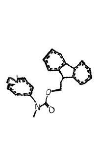 CN(C(=O)OCC1c2ccccc2-c2ccccc21)c1ccncc1